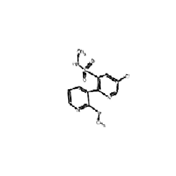 CNS(=O)(=O)c1cc(Cl)cnc1-c1cccnc1OC